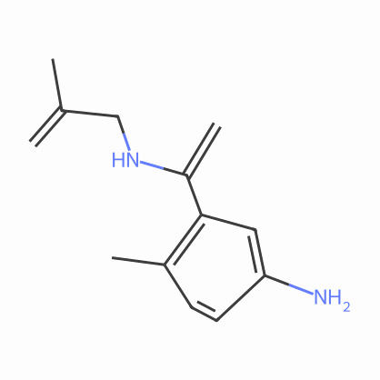 C=C(C)CNC(=C)c1cc(N)ccc1C